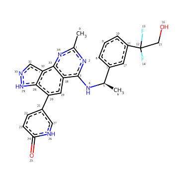 Cc1nc(N[C@H](C)c2cccc(C(F)(F)CO)c2)c2cc(-c3ccc(=O)[nH]c3)c3[nH]ncc3c2n1